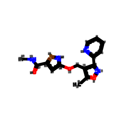 Cc1onc(-c2ccccn2)c1COc1cc(C(=O)NC(C)C)sn1